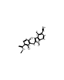 C=C(OC)c1ccc(Cl)c(Cc2cc3c(C)c(C#N)ccc3n2C)c1Cl